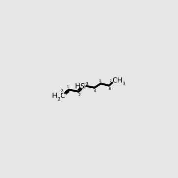 C=CC=[SiH]CCCC